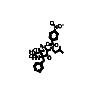 [2H]C(C(=O)C(Cc1ccccc1)(NC(=O)O)C(C)(C)C)N(CC(C)C)S(=O)(=O)c1ccc([N+](=O)[O-])cc1